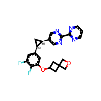 Fc1cc([C@H]2C[C@H]2c2cnc(-c3ncccn3)nc2)cc(OC2CC3(COC3)C2)c1F